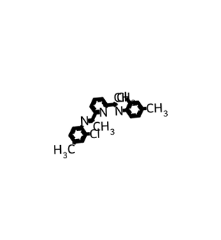 C/C(=N\c1ccc(C)cc1Cl)c1cccc(/C(C)=N/c2ccc(C)cc2Cl)n1